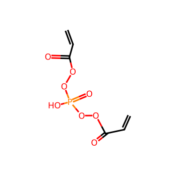 C=CC(=O)OOP(=O)(O)OOC(=O)C=C